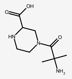 CC(C)(N)C(=O)N1CCNC(C(=O)O)C1